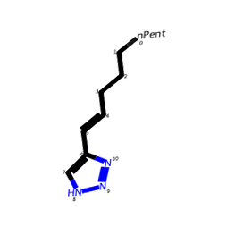 CCCCCCCCC=Cc1c[nH]nn1